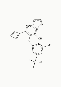 Oc1c(Cc2cc(F)cc(C(F)(F)F)c2)c(C2=CC=C2)nc2ccnn12